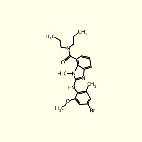 CCCN(CCC)C(=O)c1cccc2nc(Nc3c(C)cc(Br)cc3OC)n(C)c12